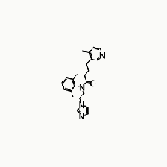 Cc1ccncc1CCCC(=O)N(CCn1ccnc1)c1c(C)cccc1C